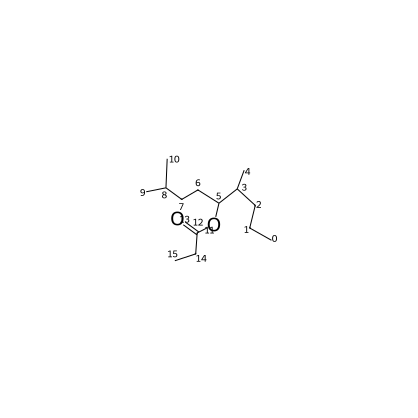 CCCC(C)C(CCC(C)C)OC(=O)CC